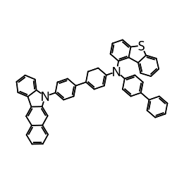 C1=C(c2ccc(-n3c4ccccc4c4cc5ccccc5cc43)cc2)CCC(N(c2ccc(-c3ccccc3)cc2)c2cccc3sc4ccccc4c23)=C1